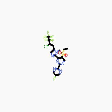 CCS(=O)(=O)c1cnc(-c2ncc(F)cn2)nc1-c1ncc(/C=C(\Cl)C(F)(F)C(F)(F)F)n1C